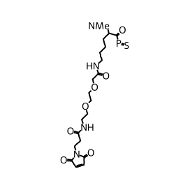 CNC(CCCCNC(=O)COCCOCCNC(=O)CCN1C(=O)C=CC1=O)C(=O)P=S